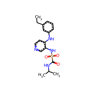 CCc1cccc(Nc2ccncc2NS(=O)(=O)C(=O)NC(C)C)c1